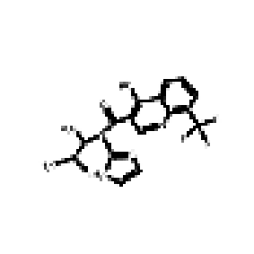 CC(C)C(N)N(C(=O)c1cnc2c(C(F)(F)F)cccc2c1O)c1nccs1